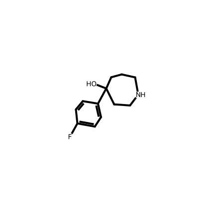 OC1(c2ccc(F)cc2)CCCNCC1